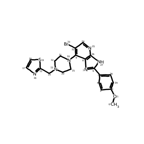 COc1ccc(-c2nc3c(N4CCN(Cc5nccs5)CC4)c(Br)cnc3[nH]2)cc1